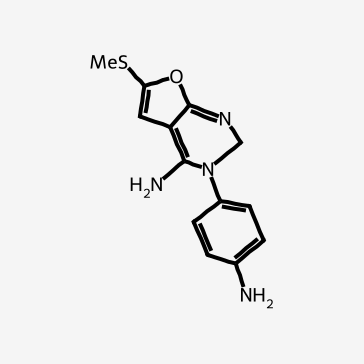 CSc1cc2c(o1)=NCN(c1ccc(N)cc1)C=2N